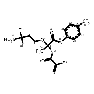 C=C(F)C(=O)OC(OCCC(F)(F)S(=O)(=O)O)(C(=O)Nc1ccc(C(F)(F)F)cc1)C(F)(F)F